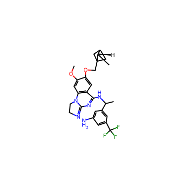 COc1cc2c(cc1OCC13CC(C1)[C@@H]3C)C(NC(C)c1cc(N)cc(C(F)(F)F)c1)=NC1=NCCN12